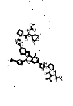 COC(=O)N[C@H](C(=O)N1CCC[C@H]1c1ncc(-c2cc(C)c3c(c2)OC(c2ccc(C4CC4)s2)n2c-3cc3cc(-c4cnc([C@@H]5CCCN5C(=O)[C@@H](NC(=O)OC)C5C[C@@H](C)O[C@@H](C)C5)[nH]4)ccc32)[nH]1)C(C)C